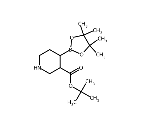 CC(C)(C)OC(=O)C1CNCCC1B1OC(C)(C)C(C)(C)O1